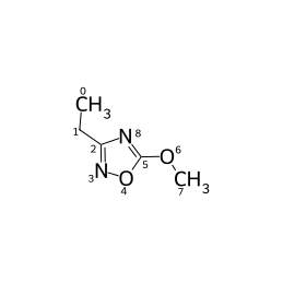 CCc1noc(OC)n1